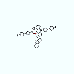 Fc1ccc(-c2ccc(N3c4ccccc4C4(c5ccccc53)c3ccccc3N(c3ccc(-c5ccc(F)cc5)cc3)c3ccc(-c5cccc6c5oc5ccccc56)cc34)cc2)cc1